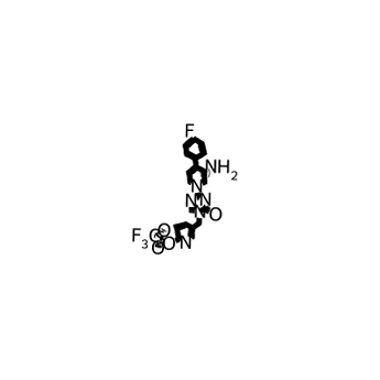 N[C@H]1CN(c2ncn(Cc3ccc(OS(=O)(=O)C(F)(F)F)nc3)c(=O)n2)CC=C1c1ccc(F)cc1